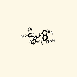 COc1ccc(C(CC(C)C)OCc2cn([C@H]3C[C@@H](O)[C@@H](CO)O3)c3ncnc(N)c23)c([N+](=O)[O-])c1